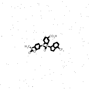 Cn1c(=O)oc2cc(-n3c(=O)n(C4CCc5c4cccc5C(F)(F)F)c4cc(C(=O)O)ccc43)ccc21